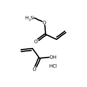 C=CC(=O)O.C=CC(=O)O[SiH3].Cl